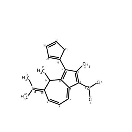 CC1=[C]([Zr]([Cl])[Cl])C2=CC=CC(=[Si](C)C)C(C)C2=C1C1=CC=CC1